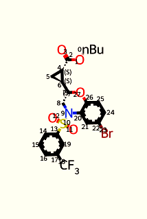 CCCCOC(=O)[C@H]1C[C@@H]1[C@H]1CN(S(=O)(=O)c2cccc(C(F)(F)F)c2)c2cc(Br)ccc2O1